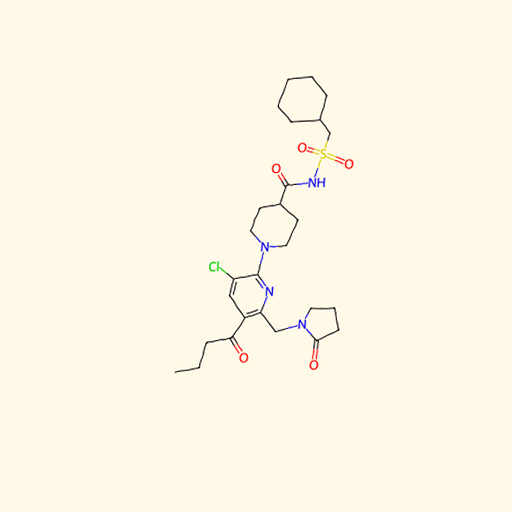 CCCC(=O)c1cc(Cl)c(N2CCC(C(=O)NS(=O)(=O)CC3CCCCC3)CC2)nc1CN1CCCC1=O